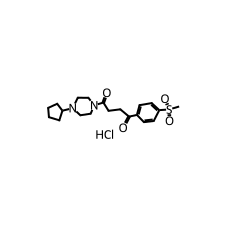 CS(=O)(=O)c1ccc(C(=O)CCC(=O)N2CCN(C3CCCC3)CC2)cc1.Cl